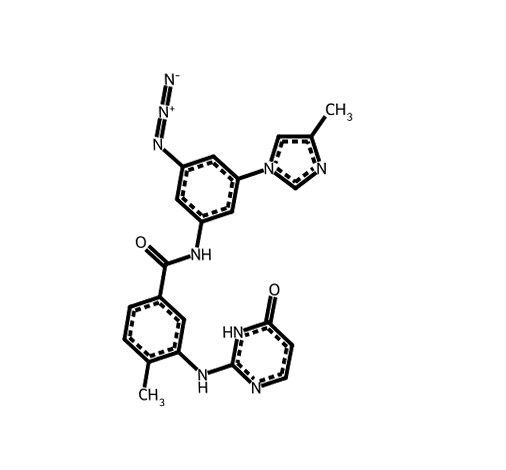 Cc1cn(-c2cc(N=[N+]=[N-])cc(NC(=O)c3ccc(C)c(Nc4nccc(=O)[nH]4)c3)c2)cn1